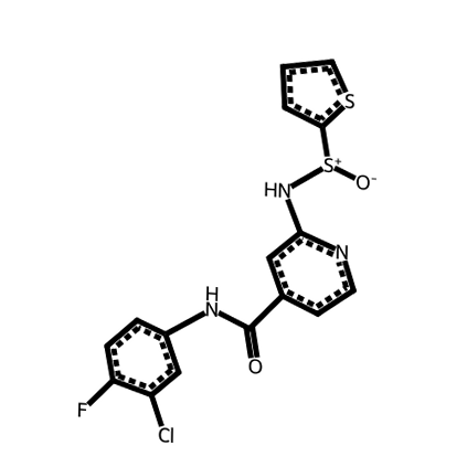 O=C(Nc1ccc(F)c(Cl)c1)c1ccnc(N[S+]([O-])c2cccs2)c1